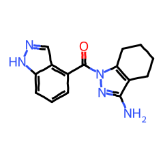 Nc1nn(C(=O)c2cccc3[nH]ncc23)c2c1CCCC2